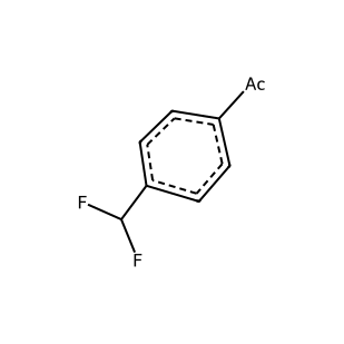 CC(=O)c1ccc(C(F)F)cc1